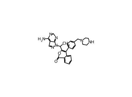 CC(c1oc(=O)c2ccccc2c1-c1ccc(CN2CCNCC2)cc1)n1ncc2c(N)ncnc21